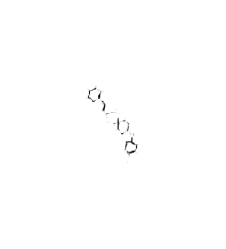 FC(F)(F)c1ccc(NC2CCC3(CC2)OCC(C=Cc2ccccc2)OO3)cc1